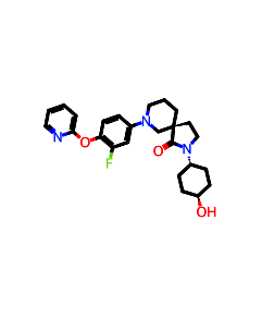 O=C1N([C@H]2CC[C@H](O)CC2)CC[C@@]12CCCN(c1ccc(Oc3ccccn3)c(F)c1)C2